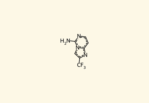 Nc1nccc2nc(C(F)(F)F)cn12